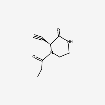 C#C[C@H]1C(=O)NCCN1C(=O)CC